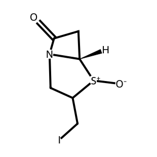 O=C1C[C@H]2N1CC(CI)[S+]2[O-]